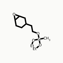 CCO[Si](C)(OCC)OCCC1CCC2OC2C1